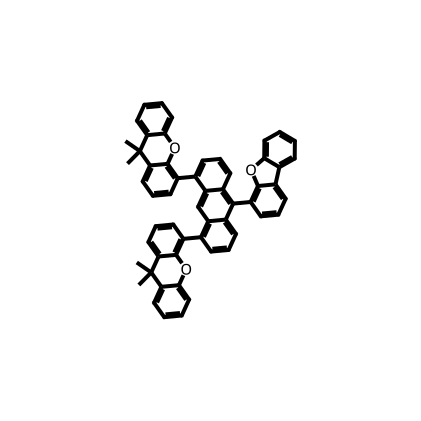 CC1(C)c2ccccc2Oc2c(-c3cccc4c(-c5cccc6c5oc5ccccc56)c5cccc(-c6cccc7c6Oc6ccccc6C7(C)C)c5cc34)cccc21